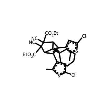 CCOC(=O)C1(C#N)C2C(c3cc(Cl)sc3C)=C(c3cc(Cl)sc3C)C(C2=C2CCCCC2)C1(C#N)C(=O)OCC